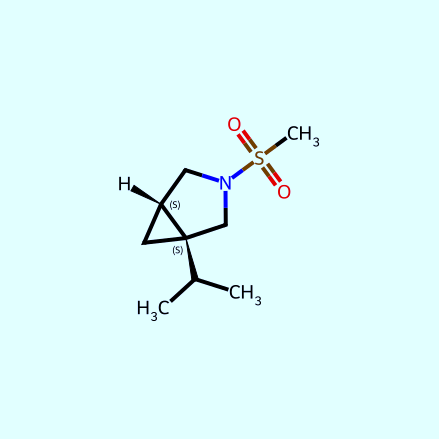 CC(C)[C@@]12C[C@@H]1CN(S(C)(=O)=O)C2